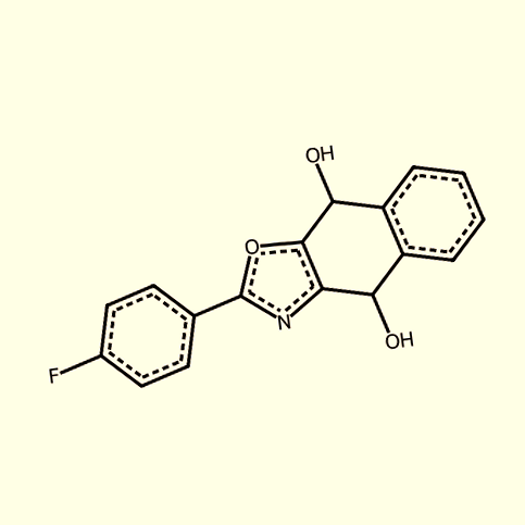 OC1c2ccccc2C(O)c2oc(-c3ccc(F)cc3)nc21